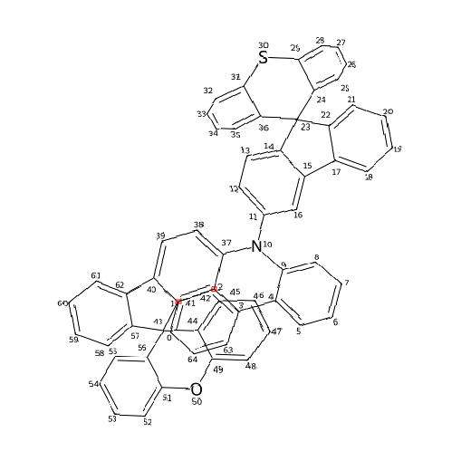 c1ccc(-c2ccccc2N(c2ccc3c(c2)-c2ccccc2C32c3ccccc3Sc3ccccc32)c2ccc3c(c2)C2(c4ccccc4Oc4ccccc42)c2ccccc2-3)cc1